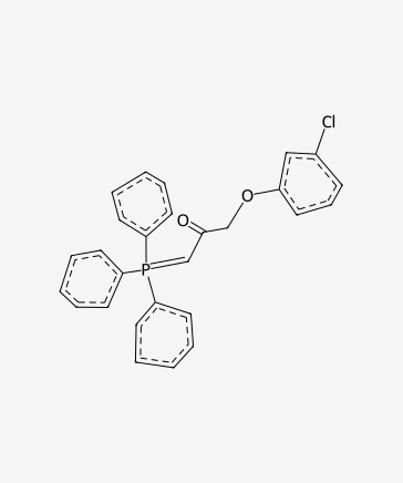 O=C(C=P(c1ccccc1)(c1ccccc1)c1ccccc1)COc1cccc(Cl)c1